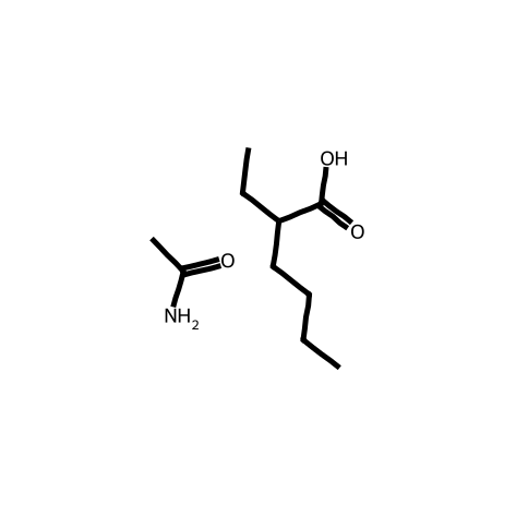 CC(N)=O.CCCCC(CC)C(=O)O